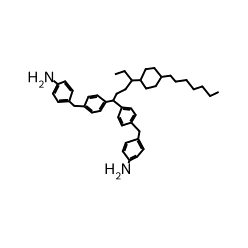 CCCCCCCC1CCC(C(CC)CCC(c2ccc(Cc3ccc(N)cc3)cc2)c2ccc(Cc3ccc(N)cc3)cc2)CC1